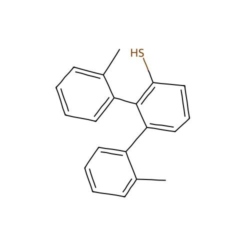 Cc1ccccc1-c1cccc(S)c1-c1ccccc1C